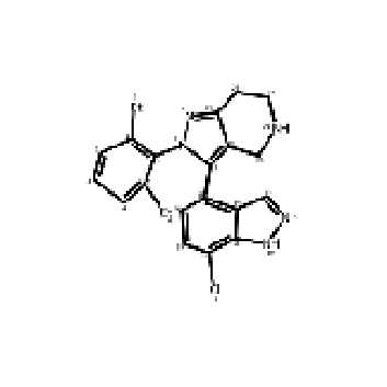 CCc1cccc(CC)c1-n1nc2c(c1-c1ccc(Cl)c3[nH]ncc13)CNCC2